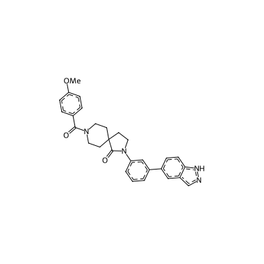 COc1ccc(C(=O)N2CCC3(CC2)CCN(c2cccc(-c4ccc5[nH]ncc5c4)c2)C3=O)cc1